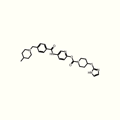 CC1CCN(Cc2ccc(C(=O)Nc3ccc(OC(=O)N4CCC(Sc5ncc[nH]5)CC4)nc3)cc2)CC1